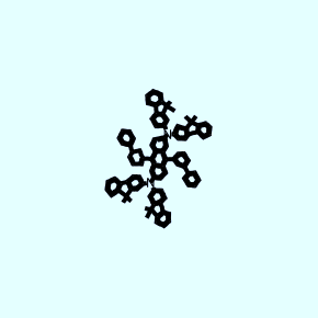 CC1(C)c2ccccc2-c2ccc(N(c3ccc4c(c3)C(C)(C)c3ccccc3-4)c3ccc4c(-c5cccc(-c6ccccc6)c5)c5cc(N(c6ccc7c(c6)C(C)(C)c6ccccc6-7)c6ccc7c(c6)C(C)(C)c6ccccc6-7)ccc5c(C5=CC=CC(c6ccccc6)C5)c4c3)cc21